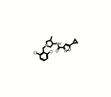 CC1CN(Cc2c(Cl)cccc2Cl)CC1NC(=O)c1cc(C2CC2)on1